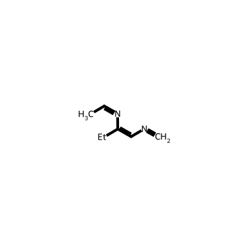 C=N/C=C(CC)\N=C/C